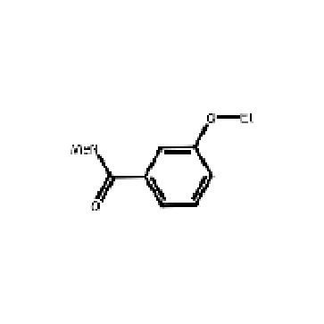 CCOc1c[c]cc(C(=O)NC)c1